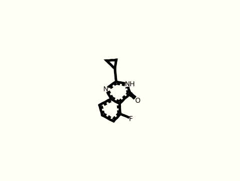 O=c1[nH]c(C2CC2)nc2cccc(F)c12